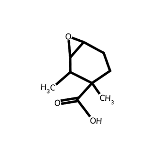 CC1C2OC2CCC1(C)C(=O)O